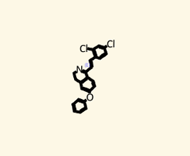 Clc1ccc(/C=C/C2=NCCc3cc(Oc4ccccc4)ccc32)c(Cl)c1